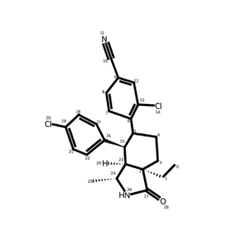 CC[C@@]12CCC(c3ccc(C#N)cc3Cl)[C@H](c3ccc(Cl)cc3)[C@@H]1[C@@H](C)NC2=O